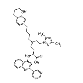 Cc1cc(C)n(CCN(CCCCc2ccc3c(n2)NCCC3)CCC(Nc2nc(-c3cccnc3)nc3ccccc23)C(=O)O)n1